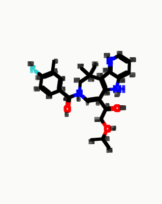 Cc1cc(C(=O)N2C=C(C(=O)COC(C)C)c3[nH]c4cccnc4c3C(C)(C)C2)ccc1F